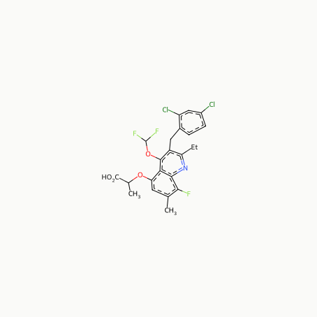 CCc1nc2c(F)c(C)cc(OC(C)C(=O)O)c2c(OC(F)F)c1Cc1ccc(Cl)cc1Cl